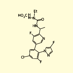 CCN(NC(=O)O)C(=O)NC(C)c1ncc(-c2cc(Cl)cc(F)c2-n2cc(F)cn2)cc1F